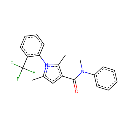 Cc1cc(C(=O)N(C)c2ccccc2)c(C)n1-c1ccccc1C(F)(F)F